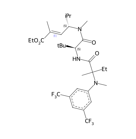 CCOC(=O)/C(C)=C/[C@H](C(C)C)N(C)C(=O)[C@@H](NC(=O)C(C)(CC)N(C)c1cc(C(F)(F)F)cc(C(F)(F)F)c1)C(C)(C)C